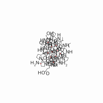 CC[C@H](C)[C@H](NC(=O)[C@H](CC(C)C)NC(=O)[C@@H]1CCCN1C(=O)[C@@H](N)CC(=O)O)C(=O)N[C@@H](CCC(N)=O)C(=O)N1CCC[C@H]1C(=O)N[C@@H](CO)C(=O)N[C@@H](CO)C(=O)N1CCC[C@H]1C(=O)N[C@@H](C)C(=O)N[C@H](C(=O)N[C@@H](CS)C(=O)N1CCC[C@H]1C(=O)N[C@@H](CCC(=O)O)C(=O)N1CCC[C@H]1C(=O)N1CCC[C@H]1C(=O)N[C@@H](CO)C(=O)N[C@@H](CO)C(=O)N1CCC[C@H]1C(=O)N[C@@H](CCCCN)C(=O)O)C(C)C